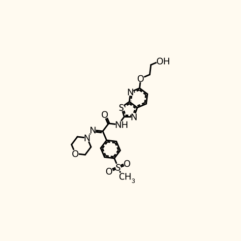 CS(=O)(=O)c1ccc(/C(=N\N2CCOCC2)C(=O)Nc2nc3ccc(OCCO)nc3s2)cc1